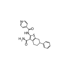 NC(=O)c1c(NC(=O)c2ccncc2)sc2c1CCC(c1ccccc1)C2